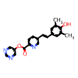 Cc1cc(/C=C/c2ccc(C(=O)Oc3cncnc3)nc2)cc(C)c1O